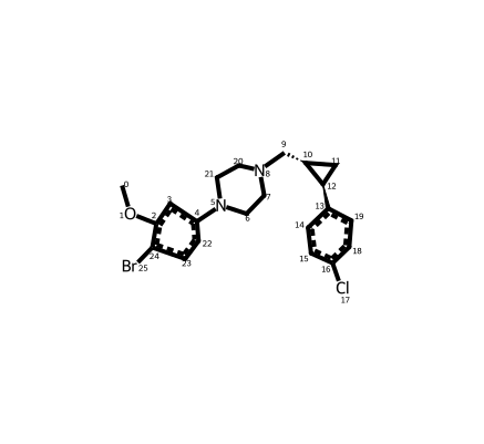 COc1cc(N2CCN(C[C@@H]3C[C@H]3c3ccc(Cl)cc3)CC2)ccc1Br